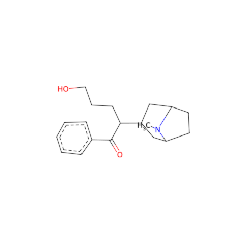 CN1C2CCC1CC(C(CCCO)C(=O)c1ccccc1)C2